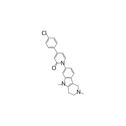 CN1CCc2c(c3ccc(-n4ccc(-c5ccc(Cl)cc5)cc4=O)cc3n2C)C1